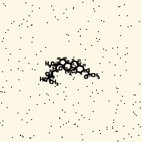 CC(=O)OC1CC[C@@]2(C)C(=CCC3C2CC[C@@]2(C)C3CC[C@@H]2[C@H](C)CCCC(C)(C)O)C1